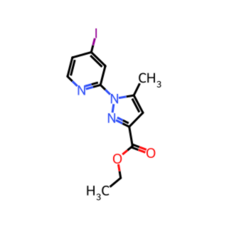 CCOC(=O)c1cc(C)n(-c2cc(I)ccn2)n1